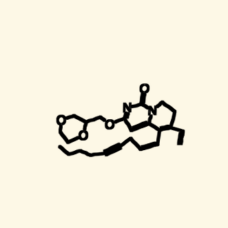 C=CC1=C(/C=C\CC#CCCCC)c2cc(OCC3COCCO3)nc(=O)n2CC1